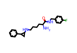 N[C@@H](CCCCNC1CC1c1ccccc1)C(=O)NCc1ccc(F)cc1